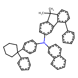 CC1(C)c2ccc(N(c3ccc(C4(c5ccccc5)CCCCC4)cc3)c3ccc4ccccc4c3)cc2-c2c(-c3ccccc3)cccc21